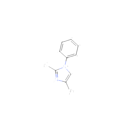 CCc1nc(C(C)C)cn1-c1ccccc1